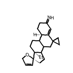 CC[C@]12CCC3C(CC4(CC4)C4=CC(=N)CC[C@@H]43)C1CC[C@@]21C=CCO1